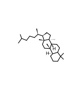 CC(C)CCC[C@@H](C)[C@H]1CC[C@@]2(C)[C@@H]3CCC4[C@@H](CCCC4(C)C)[C@]3(C)CC[C@]12C